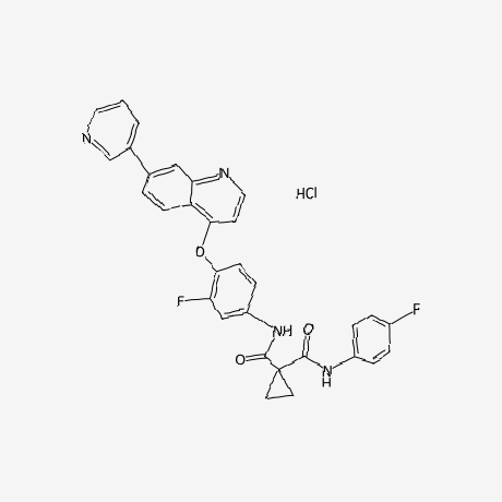 Cl.O=C(Nc1ccc(F)cc1)C1(C(=O)Nc2ccc(Oc3ccnc4cc(-c5cccnc5)ccc34)c(F)c2)CC1